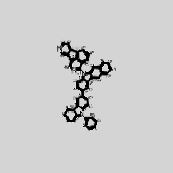 c1ccc(-n2c3ccccc3c3cc(-c4ccc5c(c4)c4cc6ccccc6cc4n5-c4ncc5c6c(cccc46)-c4ccncc4-5)ccc32)cc1